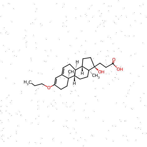 CCCOC1=CC2=CC[C@@H]3[C@H](CC[C@@]4(C)[C@H]3CC[C@]4(O)CCC(=O)O)[C@@]2(C)CC1